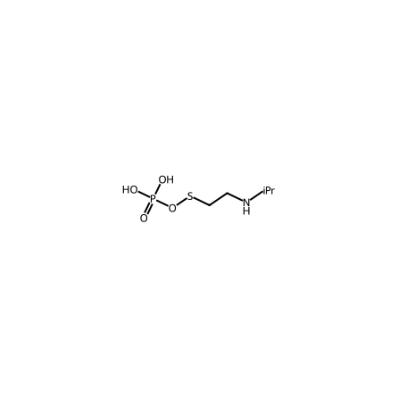 CC(C)NCCSOP(=O)(O)O